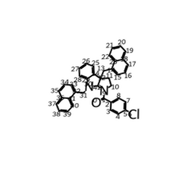 O=C(c1ccc(Cl)cc1)N1CCC2(Cc3cccc4ccccc34)c3ccccc3N(Cc3cccc4ccccc34)C12